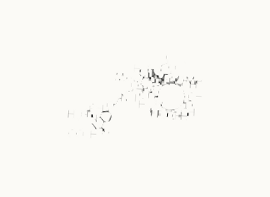 CC[C@H]1OC(=O)[C@H](C)[C@@H](O[C@H]2C[C@@](C)(OC)[C@@H](OCCNCCOc3ccc4c(=O)c(C(=O)O)cn(N(C)C)c4c3)[C@H](C)O2)[C@H](C)[C@@H](O[C@@H]2O[C@H](C)C[C@H](N(C)C)[C@H]2O)[C@](C)(OC)C[C@@H](C)C(=O)[C@@H](C)[C@@H](O)[C@]1(C)O